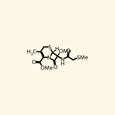 COC(=O)C1=C(C)CS[C@H]2N1C(=O)[C@]2(NC(=O)CSC)OC